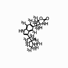 [2H]c1c(C([2H])([2H])[C@]2([2H])NC(=O)OC2([2H])[2H])c([2H])c2c(C([2H])([2H])C([2H])([2H])N(C([2H])([2H])[2H])C([2H])([2H])[2H])c[nH]c2c1[2H]